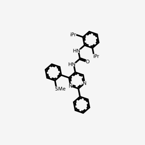 CSc1ccccc1-c1nc(-c2ccccc2)ncc1NC(=O)Nc1c(C(C)C)cccc1C(C)C